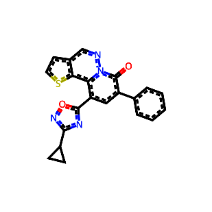 O=c1c(-c2ccccc2)cc(-c2nc(C3CC3)no2)c2c3sccc3cnn12